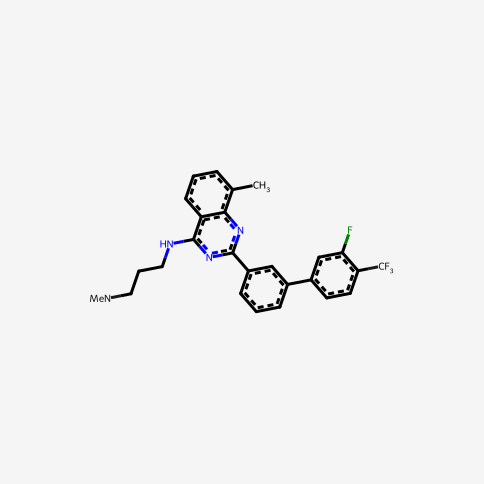 CNCCCNc1nc(-c2cccc(-c3ccc(C(F)(F)F)c(F)c3)c2)nc2c(C)cccc12